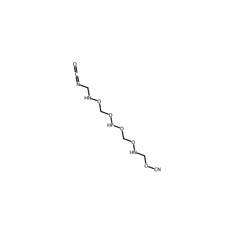 N#COCNOCOPOCONCN=C=O